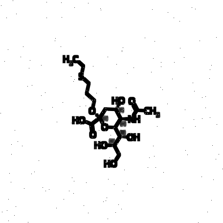 CCSCCCO[C@]1(C(=O)O)C[C@H](O)[C@@H](NC(C)=O)C([C@H](O)[C@H](O)CO)O1